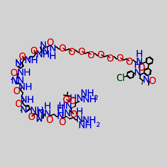 CC(=O)N1c2ccc(-c3ccccc3C(=O)NCCOCCOCCOCCOCCOCCOCCOCCOCCNC(=O)c3nc(NC(=O)CCNC(=O)c4cc(NC(=O)c5nc(NC(=O)CCNC(=O)c6cc(NC(=O)c7nc(NC(=O)CCNC(=O)[C@H](CCCNC(=N)N)NC(=O)[C@H](CCCNC(=N)N)NC(=O)OC(C)(C)C)cn7C)cn6C)cn5C)cn4C)cn3C)cc2[C@H](Nc2ccc(Cl)cc2)C[C@@H]1C